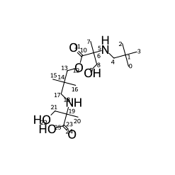 CC(C)(C)CNC(C)(CO)C(=O)OCC(C)(C)CNC(C)(CO)C(=O)O